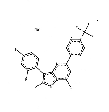 Cc1nn2c([O-])cc(-c3ccc(C(F)(F)F)nc3)nc2c1-c1ccc(F)cc1F.[Na+]